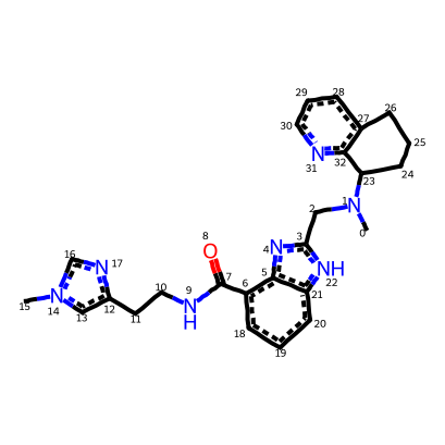 CN(Cc1nc2c(C(=O)NCCc3cn(C)cn3)cccc2[nH]1)C1CCCc2cccnc21